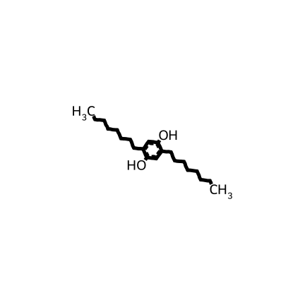 CCCCCCCCc1cc(O)c(CCCCCCCC)cc1O